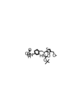 COCc1csc([C@H](Cc2ccc(N[SH](=O)=O)cc2)NC(=O)OC(C)(C)C)n1